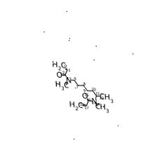 C=CC(=O)N(C)CCCCCC(C)N(C)C(=O)C=C